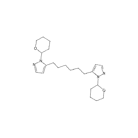 c1cc(CCCCCCc2ccnn2C2CCCCO2)n(C2CCCCO2)n1